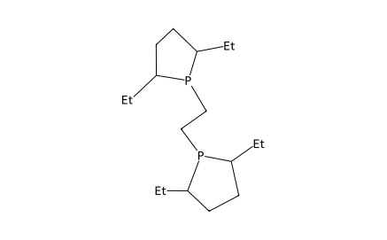 CCC1CCC(CC)P1CCP1C(CC)CCC1CC